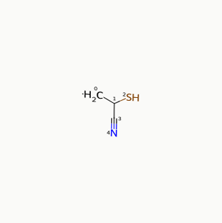 [CH2]C(S)C#N